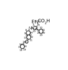 CCC(=Cc1cn(Cc2ccc3cc(OCc4ccccc4)ccc3c2)cc1-c1ccccc1)C(=O)O